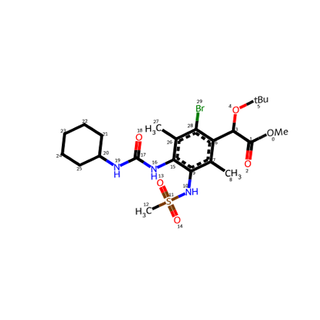 COC(=O)C(OC(C)(C)C)c1c(C)c(NS(C)(=O)=O)c(NC(=O)NC2CCCCC2)c(C)c1Br